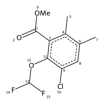 COC(=O)c1c(C)c(C)cc(Cl)c1OC(F)F